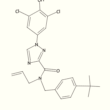 C=CCN(Cc1ccc(C(C)(C)C)cc1)C(=O)c1ncn(-c2cc(Cl)c(O)c(Cl)c2)n1